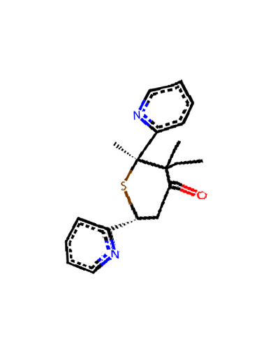 CC1(C)C(=O)C[C@H](c2ccccn2)S[C@@]1(C)c1ccccn1